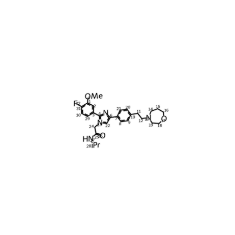 COc1cc(-c2nc(-c3ccc(CCN4CCCOCC4)cc3)cn2CC(=O)NC(C)C)ccc1F